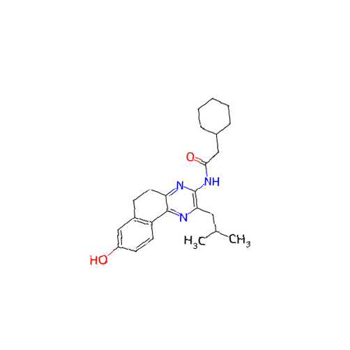 CC(C)Cc1nc2c(nc1NC(=O)CC1CCCCC1)CCc1cc(O)ccc1-2